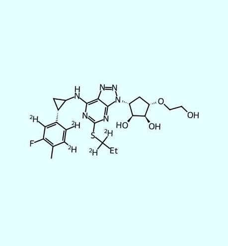 [2H]c1c([2H])c([C@@H]2CC2Nc2nc(SC([2H])([2H])CC)nc3c2nnn3[C@@H]2C[C@H](OCCO)[C@@H](O)[C@H]2O)c([2H])c(F)c1C